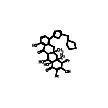 CC(=O)C1=C(O)C(C(C)C)[C@@]2(C)C[C@@]3(C)Cc4c(C5=CC=C(CC6CCCC6)C5)ccc(O)c4C(=O)C3=C(O)[C@@]2(O)C1=O